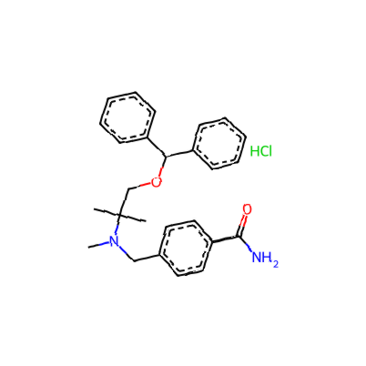 CN(Cc1ccc(C(N)=O)cc1)C(C)(C)COC(c1ccccc1)c1ccccc1.Cl